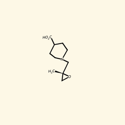 C[C@]1(CN2CCC(C(=O)O)CC2)CO1